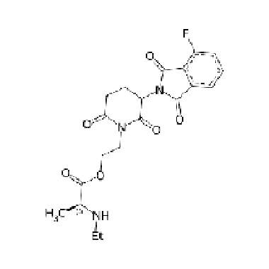 CCN[C@@H](C)C(=O)OCCN1C(=O)CCC(N2C(=O)c3cccc(F)c3C2=O)C1=O